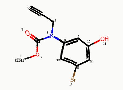 C#CCN(C(=O)OC(C)(C)C)c1cc(O)cc(Br)c1